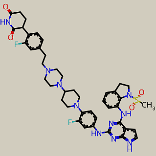 CS(=O)(=O)N1CCc2cccc(Nc3nc(Nc4ccc(N5CCC(N6CCN(CCc7ccc(C8CCC(=O)NC8=O)c(F)c7)CC6)CC5)c(F)c4)nc4[nH]ccc34)c21